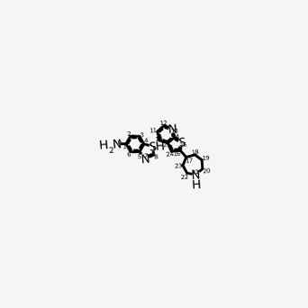 Nc1ccc2c(c1)N=C[SH]2c1ccnc2sc(C3CCCNCC3)cc12